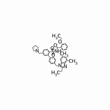 CCOc1ccccc1C(=O)NS(=O)(=O)c1ccc(CN2CCCC2)cc1-c1ccc(Cn2c(CC)nc3c(C)cc(C)cc32)cc1